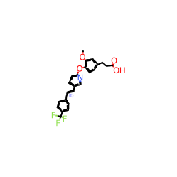 COc1cc(CCC(=O)O)ccc1Oc1ccc(/C=C/c2ccc(C(F)(F)F)cc2)cn1